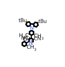 Cc1cccc(C)c1-c1ncc(C#N)c(-c2c(C)cc(-n3c4ccc(C(C)(C)C)cc4c4cc(C(C)(C)C)ccc43)cc2C)c1C#N